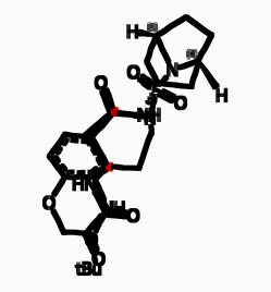 CC(C)(C)OC(=O)NC1CCN(S(=O)(=O)N2[C@@H]3CC[C@H]2C[C@@H](NC(=O)c2ccc4c(c2)NC(=O)CO4)C3)CC1